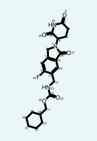 O=C1CCC(N2Cc3cc(F)c(CNC(=O)OCC4CCCCC4)cc3C2=O)C(=O)N1